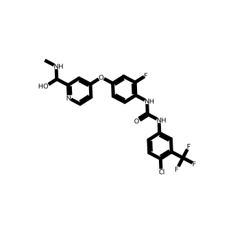 CNC(O)c1cc(Oc2ccc(NC(=O)Nc3ccc(Cl)c(C(F)(F)F)c3)c(F)c2)ccn1